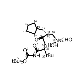 CC(C)(C)OC(=O)NC(=O)[C@@H](NC(=O)[C@H](CC1CCCC1)CN(O)C=O)C(C)(C)C